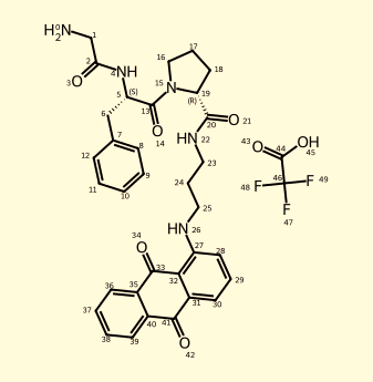 NCC(=O)N[C@@H](Cc1ccccc1)C(=O)N1CCC[C@@H]1C(=O)NCCCNc1cccc2c1C(=O)c1ccccc1C2=O.O=C(O)C(F)(F)F